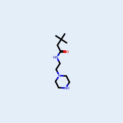 CC(C)(C)CC(=O)NCCN1CCNCC1